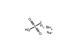 CS(=O)(=O)O.[BH4-].[Na+]